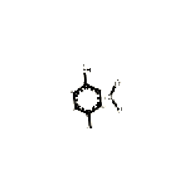 CCOCC.Cc1ccc(S)cc1